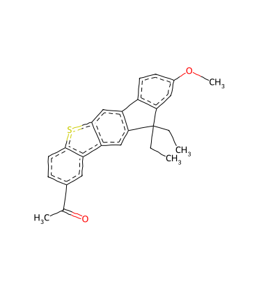 CCC1(CC)c2cc(OC)ccc2-c2cc3sc4ccc(C(C)=O)cc4c3cc21